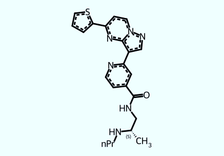 CCCN[C@@H](C)CNC(=O)c1ccnc(-c2cnn3ccc(-c4cccs4)nc23)c1